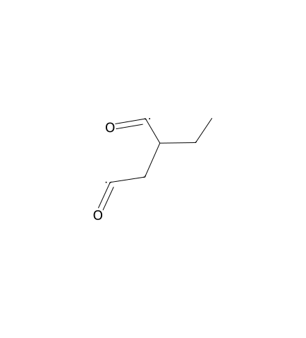 CCC([C]=O)C[C]=O